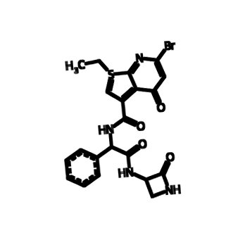 CCS1=CC(C(=O)NC(C(=O)NC2CNC2=O)c2ccccc2)=C2C(=O)C=C(Br)N=C21